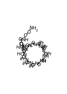 CC[C@@H]1NC(=O)[C@H]([C@H](O)[C@H](C)Cc2nc3cc(C(=O)NCCOCCOCCN)ccc3[nH]2)N(C)C(=O)[C@H](C(C)C)N(C)C(=O)[C@H](CC(C)C)N(C)C(=O)[C@H](CC(C)C)N(C)C(=O)[C@@H](C)NC(=O)[C@H](C)NC(=O)[C@H](CC(C)C)N(C)C(=O)[C@H](C(C)C)NC(=O)[C@H](CC(C)C)N(C)C(=O)CN(C)C1=O